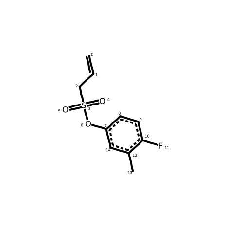 C=CCS(=O)(=O)Oc1ccc(F)c(C)c1